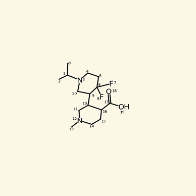 CC(C)N1CCC(F)(F)C(C2CN(C)CCC2C(=O)O)C1